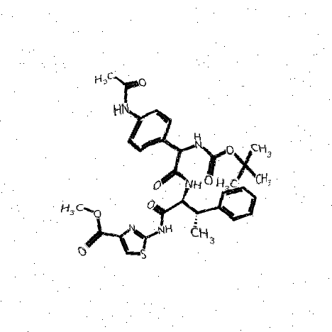 COC(=O)c1csc(NC(=O)[C@@H](NC(=O)C(NC(=O)OC(C)(C)C)c2ccc(NC(C)=O)cc2)[C@@H](C)c2ccccc2)n1